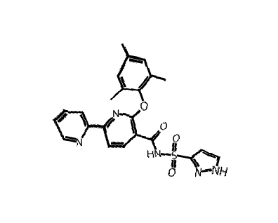 Cc1cc(C)c(Oc2nc(-c3ccccn3)ccc2C(=O)NS(=O)(=O)c2cc[nH]n2)c(C)c1